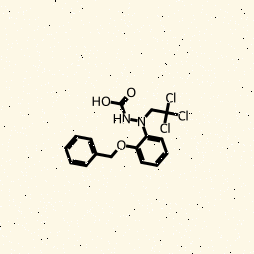 O=C(O)NN(CC(Cl)(Cl)Cl)c1ccccc1OCc1ccccc1